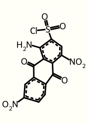 Nc1c(S(=O)(=O)Cl)cc([N+](=O)[O-])c2c1C(=O)c1cc([N+](=O)[O-])ccc1C2=O